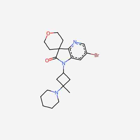 CC1(N2CCCCC2)CC(N2C(=O)C3(CCOCC3)c3ncc(Br)cc32)C1